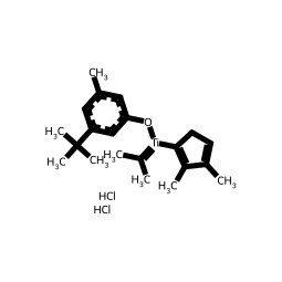 CC1=CC[C]([Ti]([O]c2cc(C)cc(C(C)(C)C)c2)=[C](C)C)=C1C.Cl.Cl